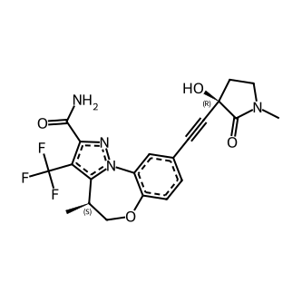 C[C@@H]1COc2ccc(C#C[C@]3(O)CCN(C)C3=O)cc2-n2nc(C(N)=O)c(C(F)(F)F)c21